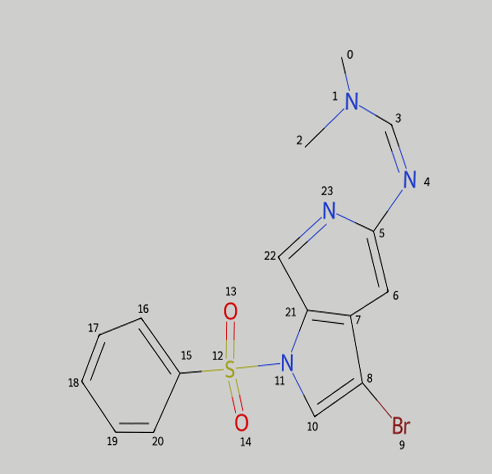 CN(C)/C=N\c1cc2c(Br)cn(S(=O)(=O)c3ccccc3)c2cn1